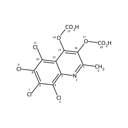 Cc1nc2c(Cl)c(Cl)c(Cl)c(Cl)c2c(OC(=O)O)c1OC(=O)O